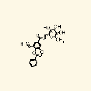 COc1cc(C(=O)OC[C@H]2OC(C)[C@H](O)[C@@H](O)[C@@H]2O)cc(Cl)c1OC(=O)c1ccccc1